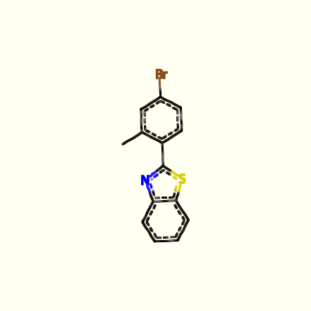 Cc1cc(Br)ccc1-c1nc2ccccc2s1